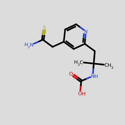 CC(C)(Cc1cc(CC(N)=S)ccn1)NC(=O)O